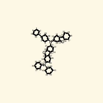 c1ccc(-c2ccc(N(c3ccc4c(c3)oc3ccccc34)c3ccc4c(c3)oc3cc(N(c5ccccc5)c5ccccc5)ccc34)cc2)cc1